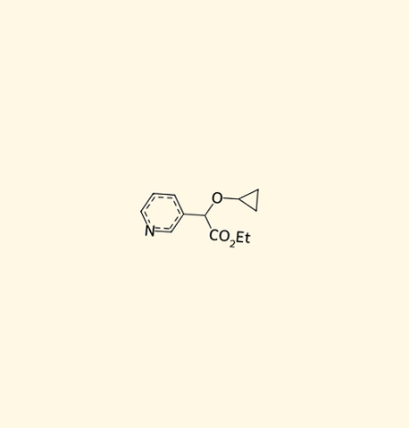 CCOC(=O)C(OC1CC1)c1cccnc1